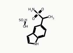 CC(c1ccc2[nH]ccc2c1)S(N)(=O)=O.O=S(=O)(O)O